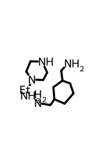 CCN1CCNCC1.N.NCC1CCCC(CN)C1